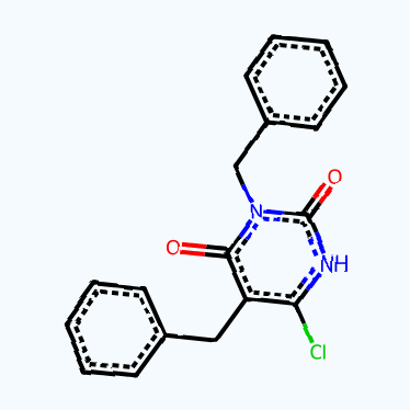 O=c1[nH]c(Cl)c(Cc2ccccc2)c(=O)n1Cc1ccccc1